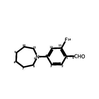 O=Cc1ccc(N2CCCCCC2)cc1F